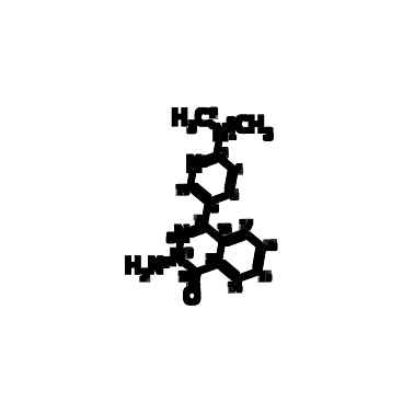 CN(C)c1ccc(-c2nn(N)c(=O)c3ccccc23)cn1